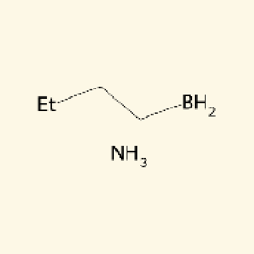 BCCCC.N